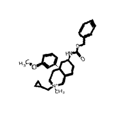 COc1cccc([C@@]23CC[N@+](C)(CC4CC4)CC2CC[C@H](NC(=O)OCc2ccccc2)C3)c1